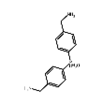 NCc1ccc(Pc2ccc(CN)cc2)cc1.O